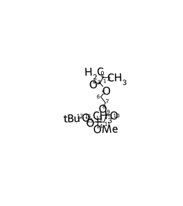 C=C(C)C(=O)OCCOC(=O)CC(C)(OC)OOC(C)(C)C